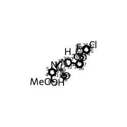 COC(O)c1ccc2nc(CN3CCC(c4cccc5c4O[C@@](C)(c4ccc(Cl)cc4F)O5)CC3)n(C[C@@H]3CCO3)c2c1